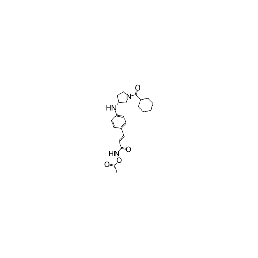 CC(=O)ONC(=O)C=Cc1ccc(N[C@@H]2CCN(C(=O)C3CCCCC3)C2)cc1